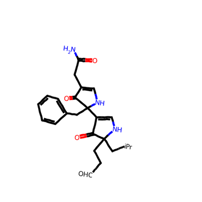 CC(C)CC1(CCC=O)NC=C(C2(Cc3ccccc3)NC=C(CC(N)=O)C2=O)C1=O